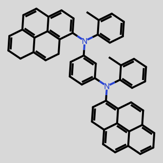 Cc1ccccc1N(c1cccc(N(c2ccccc2C)c2ccc3ccc4cccc5ccc2c3c45)c1)c1ccc2ccc3c4c2c1CC=C4CC=C3